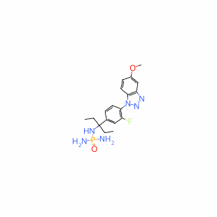 CCC(CC)(NP(N)(N)=O)c1ccc(-n2nnc3cc(OC)ccc32)c(F)c1